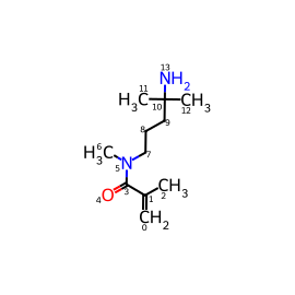 C=C(C)C(=O)N(C)CCCC(C)(C)N